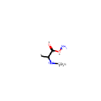 CC(NC(=O)O)C(=O)ON